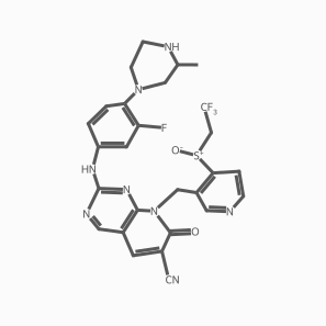 CC1CN(c2ccc(Nc3ncc4cc(C#N)c(=O)n(Cc5cnccc5[S+]([O-])CC(F)(F)F)c4n3)cc2F)CCN1